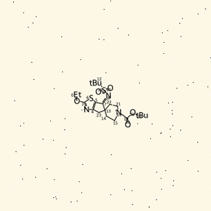 CCOc1nc2c(s1)C(=NS(=O)(=O)C(C)(C)C)C1(CCN(C(=O)OC(C)(C)C)CC1)C2